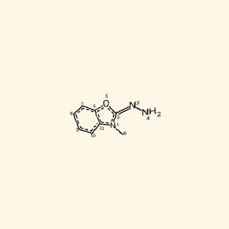 Cn1c(=NN)oc2ccccc21